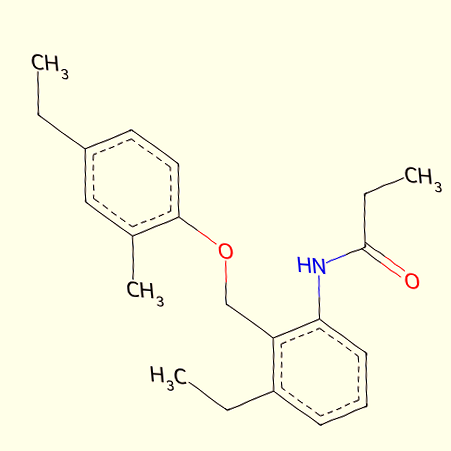 CCC(=O)Nc1cccc(CC)c1COc1ccc(CC)cc1C